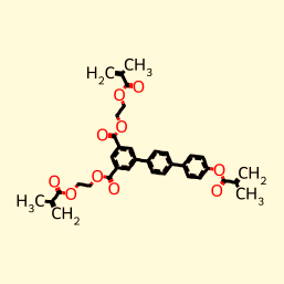 C=C(C)C(=O)OCCOC(=O)c1cc(C(=O)OCCOC(=O)C(=C)C)cc(-c2ccc(-c3ccc(OC(=O)C(=C)C)cc3)cc2)c1